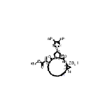 CCCc1nn([C@H]2C[C@H]3C(=O)N[C@@]4(C(=O)O)C[C@H]4/C=C\CCCCC[C@@H](NC(=O)OC(C)(C)C)C(=O)N3C2)nc1CCC